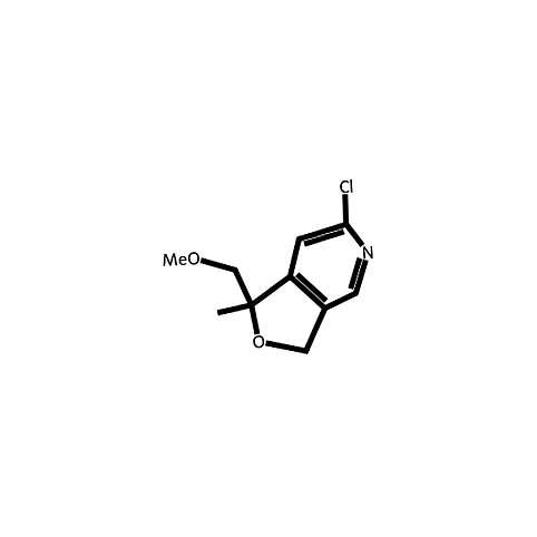 COCC1(C)OCc2cnc(Cl)cc21